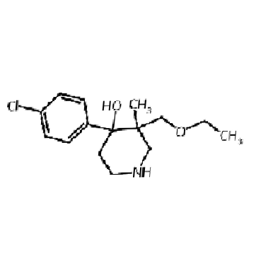 CCOCC1(C)CNCCC1(O)c1ccc(Cl)cc1